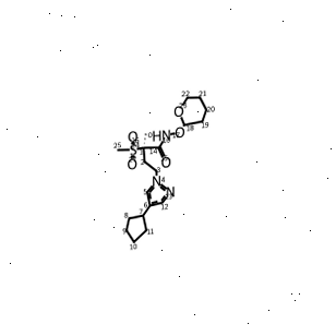 C[C@@](CCn1cc(C2CCCC2)cn1)(C(=O)NOC1CCCCO1)S(C)(=O)=O